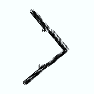 Cl.Cl.Cl.[Cl-].[Cl-].[Cl-].[Cl-].[Cl-].[Cl-].[Cl-].[Cl-].[Cl-].[Cl-].[Cl-].[Cl-].[Cl-].[Cl-].[Cl-].[Cl-].[Cl-].[Cl-].[Cl-].[Cl-].[Cl-].[Cl-].[Cl-].[Cl-].[Cl-].[Cl-].[Cl-].[Cl-].[Cl-].[Cl-].[Cl-].[Cl-].[Cl-].[Cl-].[Cl-].[Cl-].[Cl-].[Cl-].[Cl-].[Cl-].[Cl-].[Cl-].[Li+].[Li+].[Li+].[Li+].[Li+].[Li+].[Li+].[Li+].[Li+].[Li+].[Li+].[Li+].[Li+].[Li+].[Li+].[Li+].[Li+].[Li+].[Li+].[Li+].[Li+].[Li+].[Li+].[Li+].[Li+].[Li+].[Li+].[Li+].[Li+].[Li+].[Li+].[Li+].[Li+].[Li+].[Li+].[Li+].[Li+].[Li+].[Li+].[Li+].[Li+].[Li+]